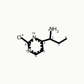 CCC(N)c1ccnc(Cl)n1